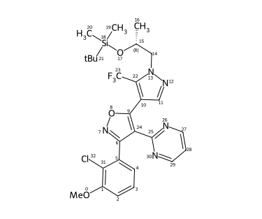 COc1cccc(-c2noc(-c3cnn(C[C@@H](C)O[Si](C)(C)C(C)(C)C)c3C(F)(F)F)c2-c2ncccn2)c1Cl